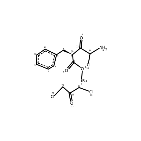 CC(C)(C)OC(=O)[C@@H](Cc1ccccc1)C(=O)C(N)Cl.O=C(CCl)CCl